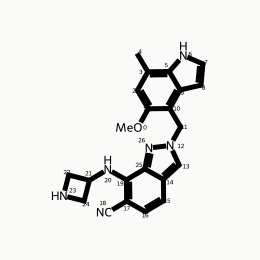 COc1cc(C)c2[nH]ccc2c1Cn1cc2ccc(C#N)c(NC3CNC3)c2n1